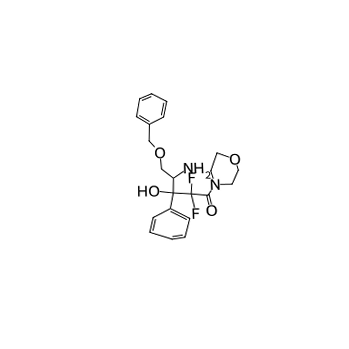 NC(COCc1ccccc1)C(O)(c1ccccc1)C(F)(F)C(=O)N1CCOCC1